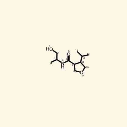 CC(CO)NC(=O)C1COCC1C(C)C